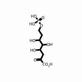 O=C(O)C(=O)CC(O)C(O)C(O)CCOP(=O)(O)O